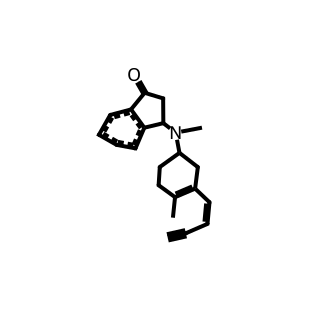 C#C/C=C\C1=C(C)CCC(N(C)C2CC(=O)c3ccccc32)C1